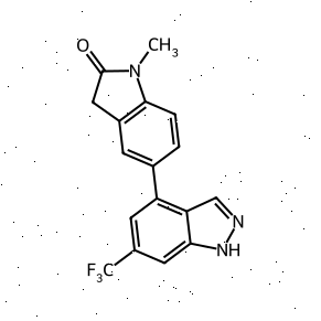 CN1C(=O)Cc2cc(-c3cc(C(F)(F)F)cc4[nH]ncc34)ccc21